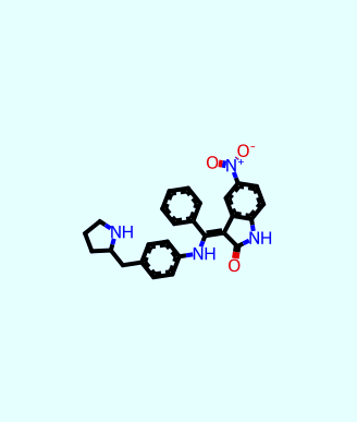 O=C1Nc2ccc([N+](=O)[O-])cc2/C1=C(/Nc1ccc(CC2CCCN2)cc1)c1ccccc1